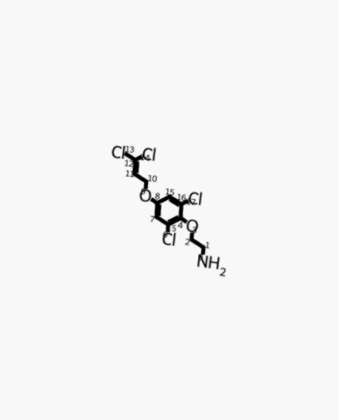 NCCOc1c(Cl)cc(OCC=C(Cl)Cl)cc1Cl